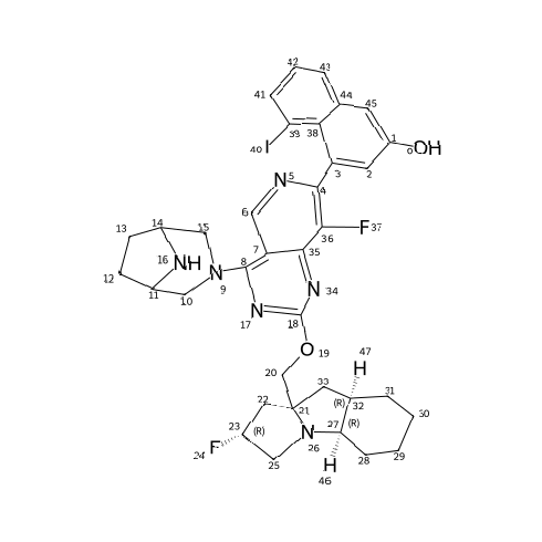 Oc1cc(-c2ncc3c(N4CC5CCC(C4)N5)nc(OCC45C[C@@H](F)CN4[C@@H]4CCCC[C@@H]4C5)nc3c2F)c2c(I)cccc2c1